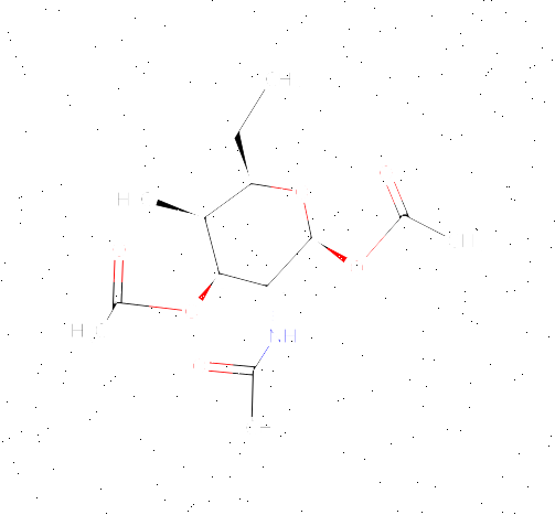 CC[C@H]1O[C@@H](OC(C)=O)[C@H](NC(C)=O)[C@@H](OC(C)=O)[C@H]1C